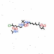 CC1=CCC(C(C)/C=C(C)/C=C/C=C/C(=O)NC(C(=O)N/C=C\CC(C/C=C(\C)Cl)OC(=O)NC(C)C)C(C)(C)C)OC1=O